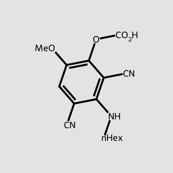 CCCCCCNc1c(C#N)cc(OC)c(OC(=O)O)c1C#N